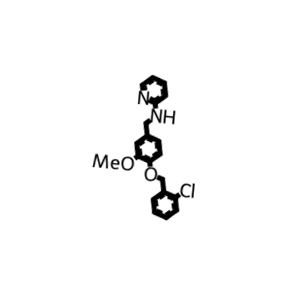 COc1cc(CNc2ccccn2)ccc1OCc1ccccc1Cl